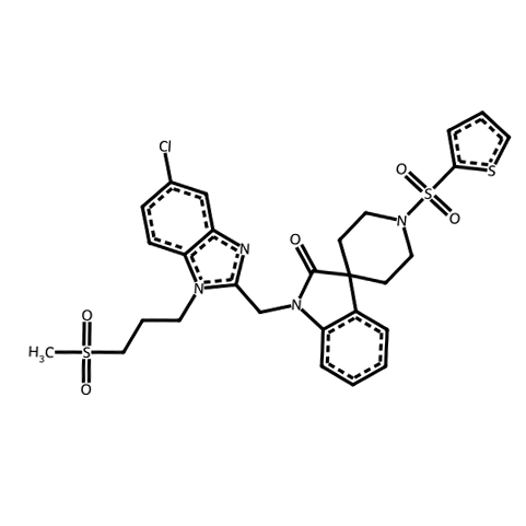 CS(=O)(=O)CCCn1c(CN2C(=O)C3(CCN(S(=O)(=O)c4cccs4)CC3)c3ccccc32)nc2cc(Cl)ccc21